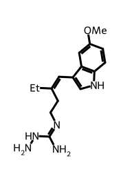 CCC(=Cc1c[nH]c2ccc(OC)cc12)CCN=C(N)NN